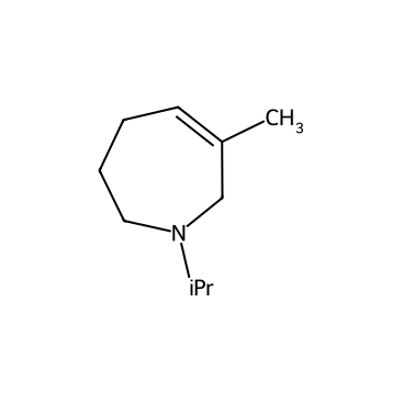 CC1=CCCCN(C(C)C)C1